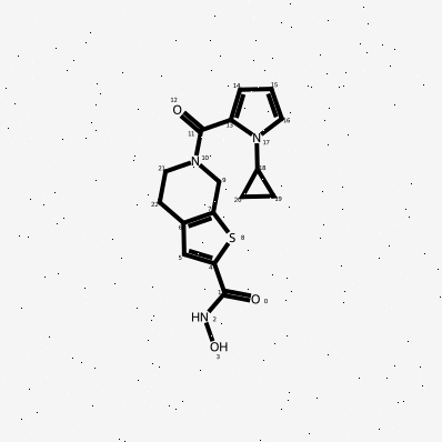 O=C(NO)c1cc2c(s1)CN(C(=O)c1cccn1C1CC1)CC2